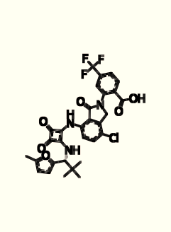 Cc1ccc([C@H](Nc2c(Nc3ccc(Cl)c4c3C(=O)N(c3cc(C(F)(F)F)ccc3C(=O)O)C4)c(=O)c2=O)C(C)(C)C)o1